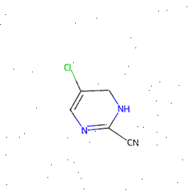 N#CC1=NC=C(Cl)CN1